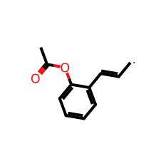 [CH2]C=Cc1ccccc1OC(C)=O